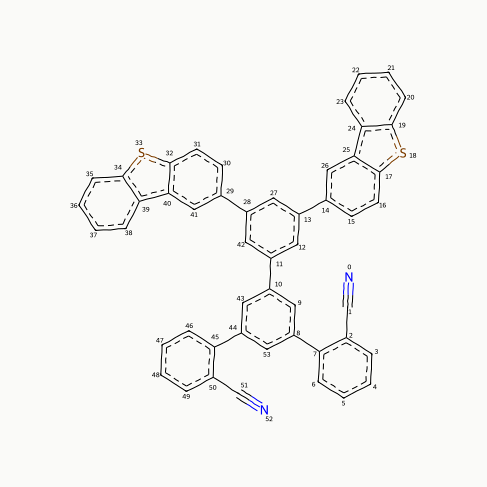 N#Cc1ccccc1-c1cc(-c2cc(-c3ccc4sc5ccccc5c4c3)cc(-c3ccc4sc5ccccc5c4c3)c2)cc(-c2ccccc2C#N)c1